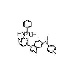 C[C@H](Nc1nccc(-n2cnc3cc(Nc4ccncc4)ccc32)n1)c1ccccc1